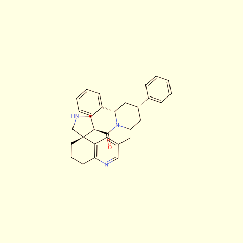 Cc1cnc2c(c1)[C@]1(CCC2)CNC[C@H]1C(=O)N1CC[C@@H](c2ccccc2)C[C@H]1c1ccccc1